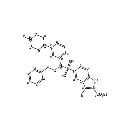 CCOC(=O)c1oc2ccc(S(=O)(=O)N(CCc3ccccc3)c3cccc(N4CCN(C)CC4)c3)cc2c1C